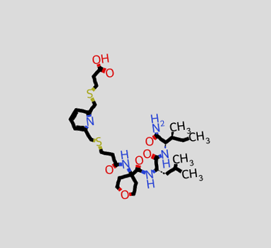 CC[C@H](C)[C@H](NC(=O)[C@H](CC(C)C)NC(=O)C1(NC(=O)CCSCc2cccc(CSCCC(=O)O)n2)CCOCC1)C(N)=O